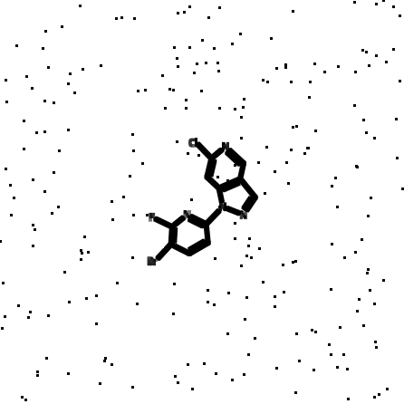 Fc1nc(-n2ncc3cnc(Cl)cc32)ccc1Br